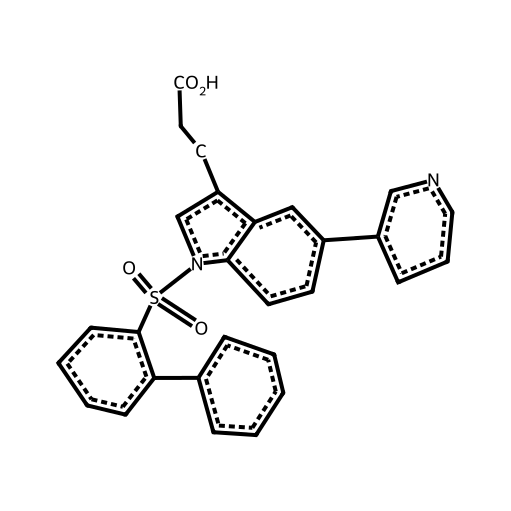 O=C(O)CCc1cn(S(=O)(=O)c2ccccc2-c2ccccc2)c2ccc(-c3cccnc3)cc12